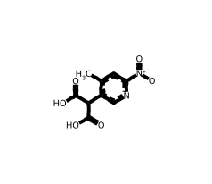 Cc1cc([N+](=O)[O-])ncc1C(C(=O)O)C(=O)O